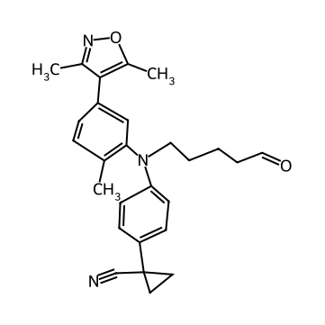 Cc1ccc(-c2c(C)noc2C)cc1N(CCCCC=O)c1ccc(C2(C#N)CC2)cc1